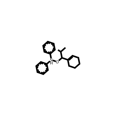 CC(C)C(O[SiH](c1ccccc1)c1ccccc1)C1=CCCCC1